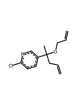 C=CCOC(C)(CC=C)c1ccc(Cl)nc1